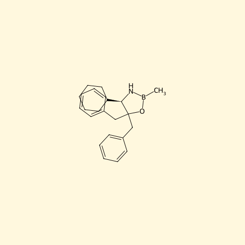 CB1N[C@H](C2CCCCC2)C(Cc2ccccc2)(Cc2ccccc2)O1